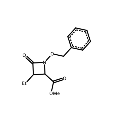 CCC1C(=O)N(OCc2ccccc2)C1C(=O)OC